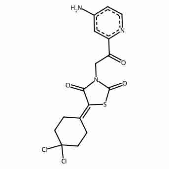 Nc1ccnc(C(=O)CN2C(=O)SC(=C3CCC(Cl)(Cl)CC3)C2=O)c1